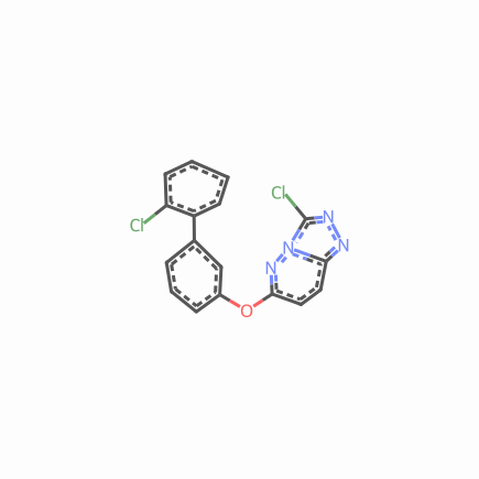 Clc1ccccc1-c1cccc(Oc2ccc3nnc(Cl)n3n2)c1